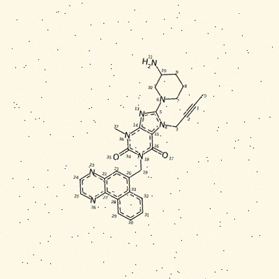 CC#CCn1c(N2CCCC(N)C2)nc2c1c(=O)n(Cc1cc3nccnc3c3ccccc13)c(=O)n2C